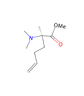 C=CCC[C@](C)(C(=O)OC)N(C)C